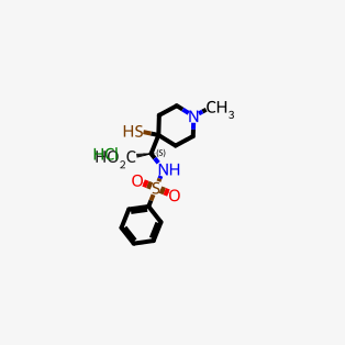 CN1CCC(S)([C@@H](NS(=O)(=O)c2ccccc2)C(=O)O)CC1.Cl